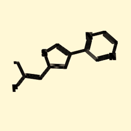 [CH2]/C(F)=C\c1cc(-c2cnccn2)cs1